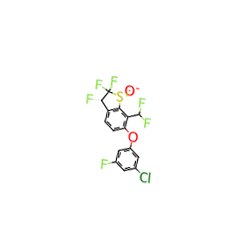 [O-][S@+]1c2c(ccc(Oc3cc(F)cc(Cl)c3)c2C(F)F)[C@H](F)C1(F)F